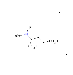 CCCN(CCC)C(CCC(=O)O)C(=O)O